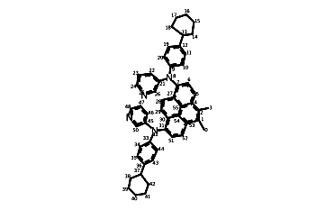 Cc1c(C)c2ccc(N(c3ccc(C4CCCCC4)cc3)c3cccnc3)c3ccc4c(N(c5ccc(C6CCCCC6)cc5)c5cccnc5)ccc1c4c32